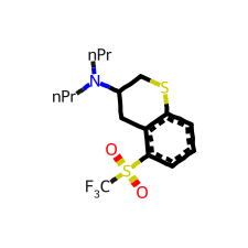 CCCN(CCC)C1CSc2cccc(S(=O)(=O)C(F)(F)F)c2C1